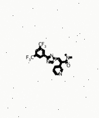 CN(C)C(=O)/C(=C/n1cnc(-c2cc(C(F)(F)F)cc(C(F)(F)F)c2)n1)c1cccnc1